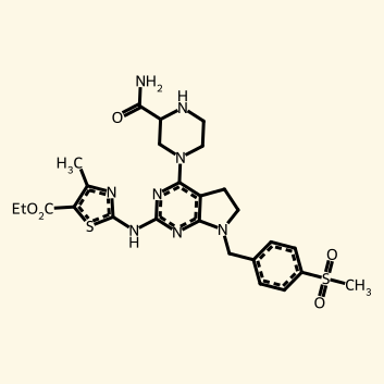 CCOC(=O)c1sc(Nc2nc3c(c(N4CCNC(C(N)=O)C4)n2)CCN3Cc2ccc(S(C)(=O)=O)cc2)nc1C